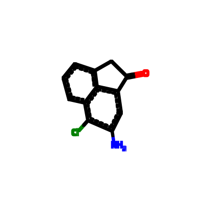 Nc1cc2c3c(cccc3c1Cl)CC2=O